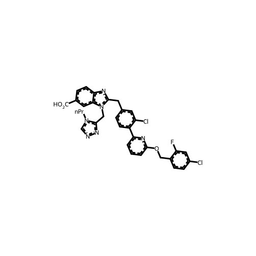 CCCn1cnnc1Cn1c(Cc2ccc(-c3cccc(OCc4ccc(Cl)cc4F)n3)c(Cl)c2)nc2ccc(C(=O)O)cc21